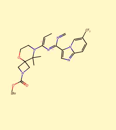 C=N/C(=N\C(=C/C)N1CCOC2(CN(C(=O)OC(C)(C)C)C2)C1(C)C)c1cnc2ccc(C(F)(F)F)cn12